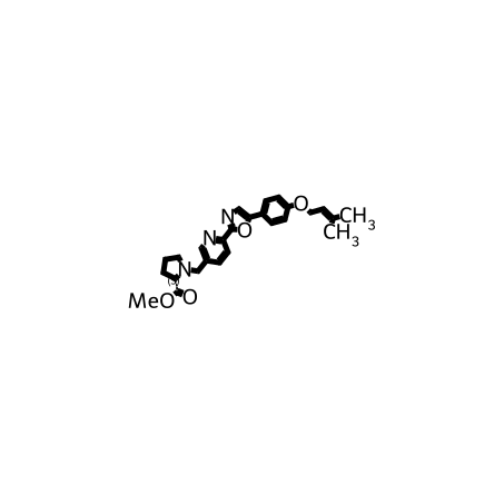 COC(=O)[C@@H]1CCCN1Cc1ccc(-c2ncc(-c3ccc(OCC=C(C)C)cc3)o2)nc1